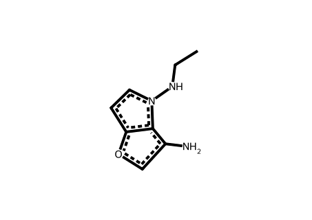 CCNn1ccc2occ(N)c21